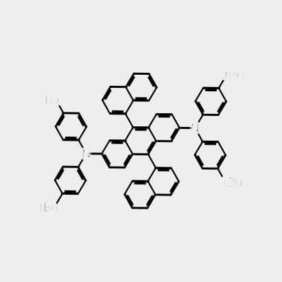 CC(C)(C)c1ccc(N(c2ccc(C(C)(C)C)cc2)c2ccc3c(-c4cccc5ccccc45)c4cc(N(c5ccc(C(C)(C)C)cc5)c5ccc(C(C)(C)C)cc5)ccc4c(-c4cccc5ccccc45)c3c2)cc1